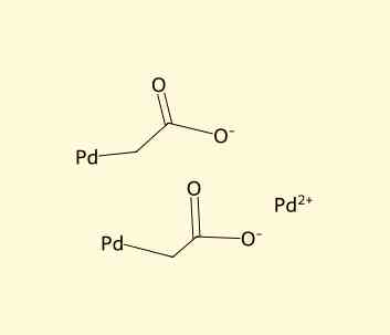 O=C([O-])[CH2][Pd].O=C([O-])[CH2][Pd].[Pd+2]